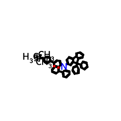 C[Si](C)(C)c1ccc(-c2ccc(N(c3ccc4c(c3)C(c3ccccc3)(c3ccccc3)c3ccccc3-4)c3ccccc3-c3ccccc3)cc2)cc1